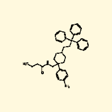 CCCC(=O)NCC1(c2ccc(C)cc2)CCN(CCC(c2ccccc2)(c2ccccc2)c2ccccc2)CC1